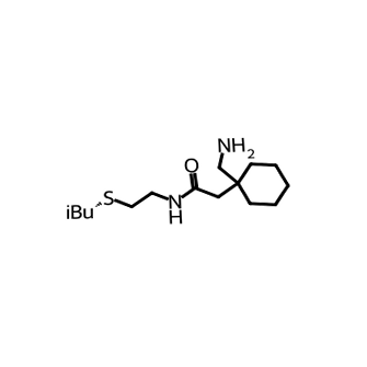 CC[C@@H](C)SCCNC(=O)CC1(CN)CCCCC1